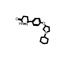 O=C1CCC(c2ccc(OC3CCN(C4CCCCC4)C3)cc2)=NN1